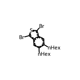 CCCCCCc1cc2c(Br)sc(Br)c2cc1CCCCCC